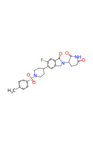 Cc1ccc(S(=O)(=O)N2CCC(c3cc4c(cc3F)C(=O)N(C3CCC(=O)NC3=O)C4)CC2)cc1